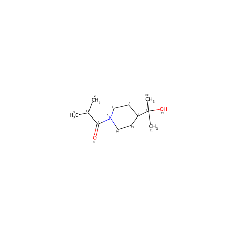 CC(C)C(=O)N1CCC(C(C)(C)O)CC1